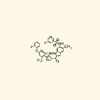 Cc1cc2cc(C(=O)c3cnn(-c4cnc(Oc5ccccc5F)cc4C)c3N)[nH]c2cc1NS(=O)(=O)c1cncc(F)c1